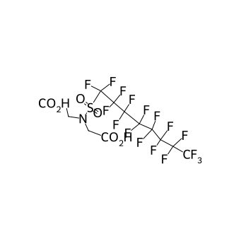 O=C(O)CN(CC(=O)O)S(=O)(=O)C(F)(F)C(F)(F)C(F)(F)C(F)(F)C(F)(F)C(F)(F)C(F)(F)C(F)(F)F